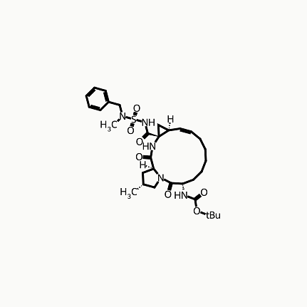 C[C@@H]1C[C@H]2C(=O)N[C@]3(C(=O)NS(=O)(=O)N(C)Cc4ccccc4)C[C@H]3/C=C\CCCCC[C@H](NC(=O)OC(C)(C)C)C(=O)N2C1